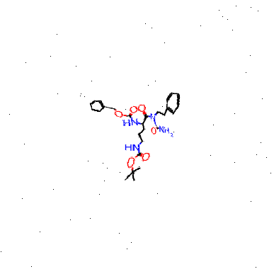 CC(C)(C)OC(=O)NCCCC(NC(=O)OCc1ccccc1)C(=O)N(CCc1ccccc1)C(N)=O